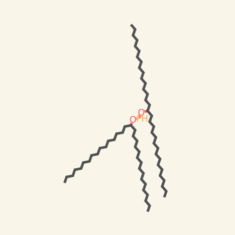 CCCCCCCCCCCCCCCCC(CCCCCCCCCCCCCCCC)OPOC(CCCCCCCCCCCCCCCC)CCCCCCCCCCCCCCCC